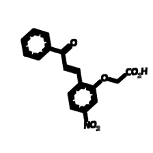 O=C(O)COc1cc([N+](=O)[O-])ccc1C=CC(=O)c1ccccc1